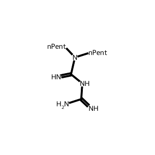 CCCCCN(CCCCC)C(=N)NC(=N)N